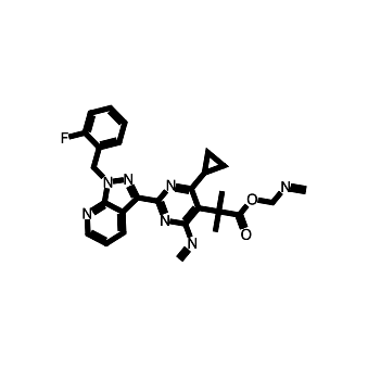 C=NCOC(=O)C(C)(C)c1c(N=C)nc(-c2nn(Cc3ccccc3F)c3ncccc23)nc1C1CC1